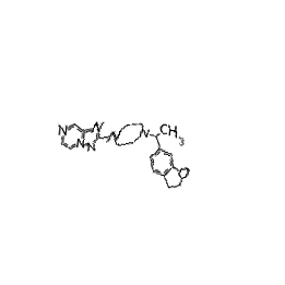 CC(c1ccc2c(c1)OCC2)N1CCN(c2nc3cnccn3n2)CC1